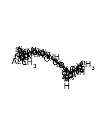 CC(=O)c1c(C)c2cnc(Nc3ccc(N4CCN(CC(=O)NCCOCCOCCC(=O)Nc5c(C(=O)Nc6ccc(C)cn6)ccc6[nH]ccc56)CC4)cn3)nc2n(C2CCCC2)c1=O